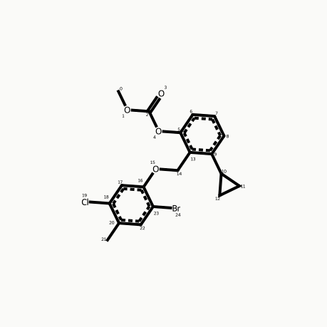 COC(=O)Oc1cccc(C2CC2)c1COc1cc(Cl)c(C)cc1Br